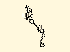 CC(C)(C)c1cc(NC(=O)Nc2ccc(C#Cc3cn4cc(OCCCN5CCCCC5)ccc4n3)cc2)no1